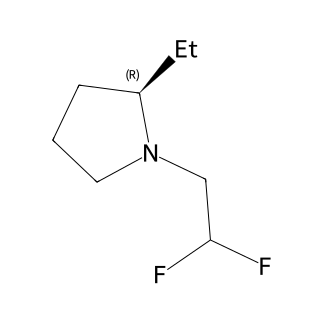 CC[C@@H]1CCCN1CC(F)F